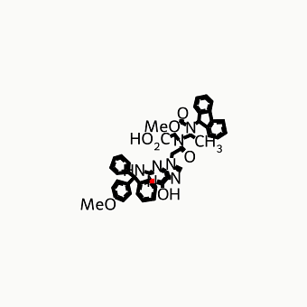 COC(=O)N(C1c2ccccc2-c2ccccc21)C(C)N(CC(=O)O)C(=O)Cn1cnc2c(O)nc(NC(c3ccccc3)(c3ccccc3)c3ccc(OC)cc3)nc21